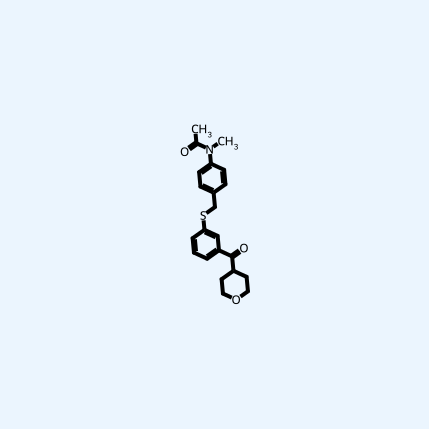 CC(=O)N(C)c1ccc(CSc2cccc(C(=O)C3CCOCC3)c2)cc1